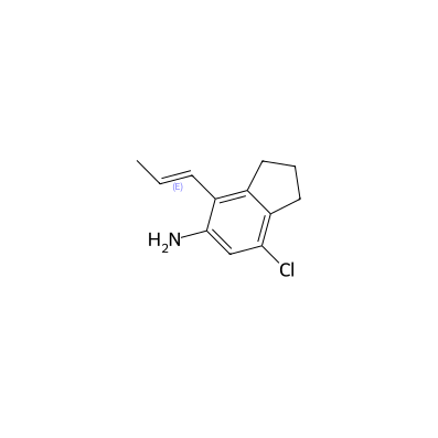 C/C=C/c1c(N)cc(Cl)c2c1CCC2